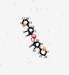 CC1=C(OOC2=C(C)C3(C)CC2C=C3c2ccccp2)C2C=C(c3ccccp3)C1(C)C2